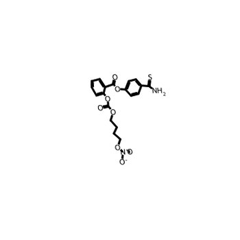 NC(=S)c1ccc(OC(=O)c2ccccc2OC(=O)OCCCCO[N+](=O)[O-])cc1